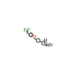 CCC[SiH]1CCC(C2CCC(COc3ccc(C=C(F)F)cc3)CC2)CC1